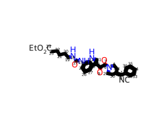 [C-]#[N+]C(=C1CCN(C(=O)C(=O)c2c[nH]c3c(NC(=O)NCCCCCC(=O)OCC)cccc23)CC1)c1ccccc1